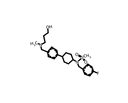 CN(CCCO)Cc1ccc(C2CCC(N(Cc3ccc(F)cc3)S(C)(=O)=O)CC2)cc1